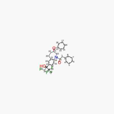 O=C(Cc1ccccc1)N1C[C@H](Oc2ccccc2)CCc2cc(C(O)(CF)C(F)(F)F)ccc21